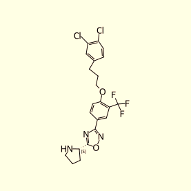 FC(F)(F)c1cc(-c2noc([C@@H]3CCCN3)n2)ccc1OCCCc1ccc(Cl)c(Cl)c1